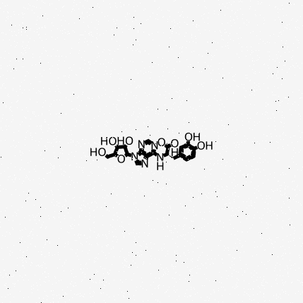 O=C(O)[C@H](Cc1ccc(O)c(O)c1)Nc1ncnc2c1ncn2C1OC(CO)C(O)C1O